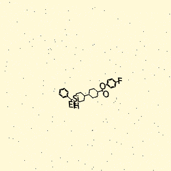 CCC(c1ccccc1)[SiH]1CCC(C2CCC(C(=O)Oc3ccc(F)cc3)CC2)CC1